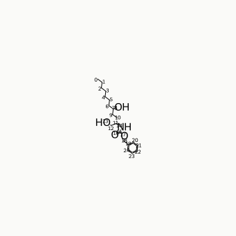 CCCCCCCC(O)CC[C@@H](CO)NC(=O)OCc1ccccc1